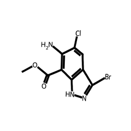 COC(=O)c1c(N)c(Cl)cc2c(Br)n[nH]c12